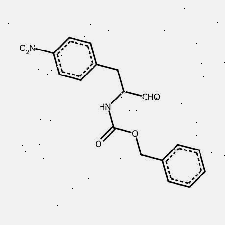 O=CC(Cc1ccc([N+](=O)[O-])cc1)NC(=O)OCc1ccccc1